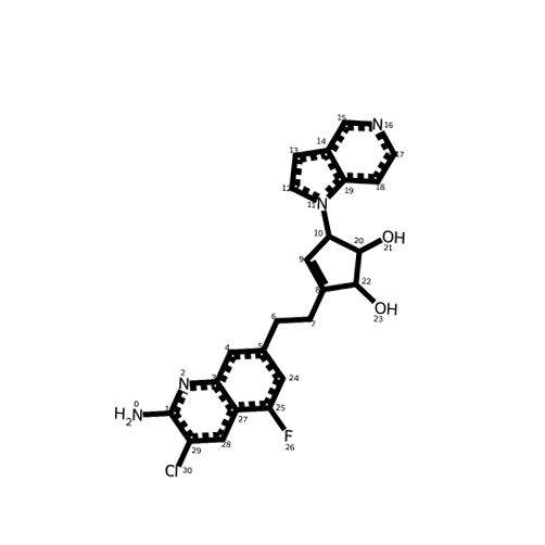 Nc1nc2cc(CCC3=CC(n4ccc5cnccc54)C(O)C3O)cc(F)c2cc1Cl